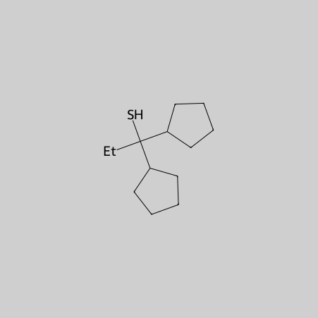 CCC(S)(C1CCCC1)C1CCCC1